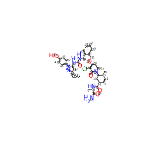 Cc1ccc(C(=O)NC(C)C(N)=O)cc1-n1c(C)cc(OCc2ccccc2CNC(=O)Nc2cc(C(C)(C)C)nn2-c2ccc(O)cc2)c(Cl)c1=O